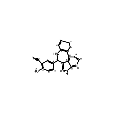 N#Cc1cc(C2NC3=C(CCC=C3)c3ncnc4[nH]cc2c34)ccc1O